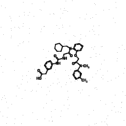 Cc1cccc(N(C)C(=O)COc2ccccc2N(CC2CCCCC2)C(=O)CNC(=O)Nc2cccc(CC(=O)O)c2)c1